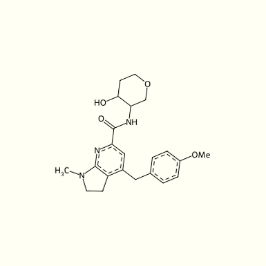 COc1ccc(Cc2cc(C(=O)NC3COCCC3O)nc3c2CCN3C)cc1